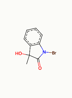 CC1(O)C(=O)N(Br)c2ccccc21